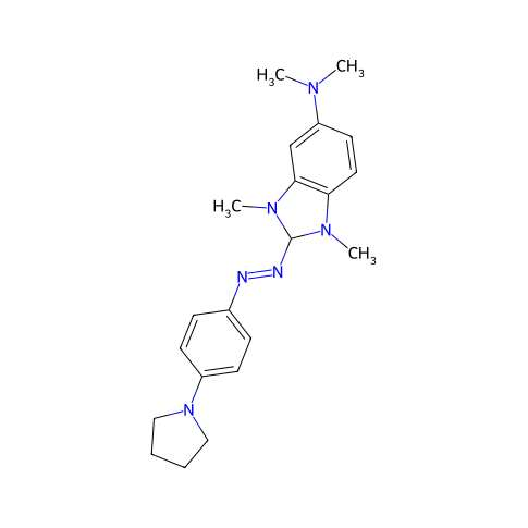 CN(C)c1ccc2c(c1)N(C)C(N=Nc1ccc(N3CCCC3)cc1)N2C